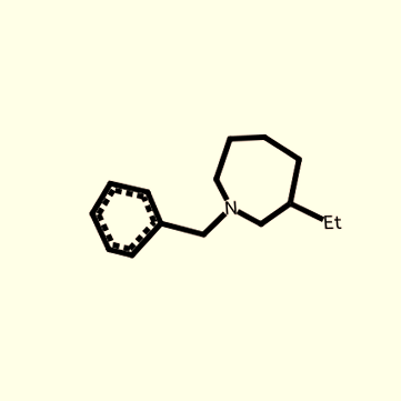 CCC1CCCCN(Cc2ccccc2)C1